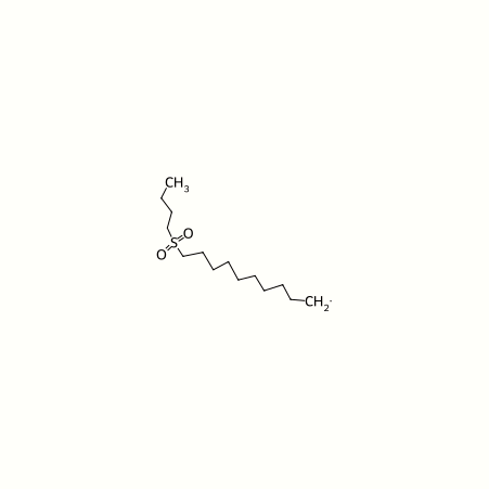 [CH2]CCCCCCCCCS(=O)(=O)CCCC